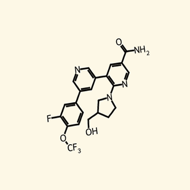 NC(=O)c1cnc(N2CCC(CO)C2)c(-c2cncc(-c3ccc(OC(F)(F)F)c(F)c3)c2)c1